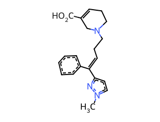 Cn1ccc(C(=CCCN2CCC=C(C(=O)O)C2)c2ccccc2)n1